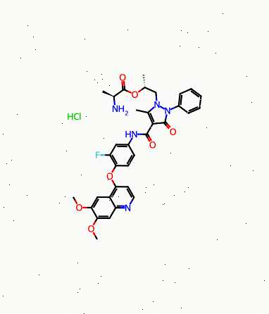 COc1cc2nccc(Oc3ccc(NC(=O)c4c(C)n(C[C@@H](C)OC(=O)[C@H](C)N)n(-c5ccccc5)c4=O)cc3F)c2cc1OC.Cl